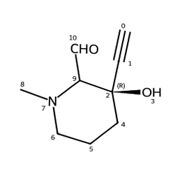 C#C[C@]1(O)CCCN(C)C1C=O